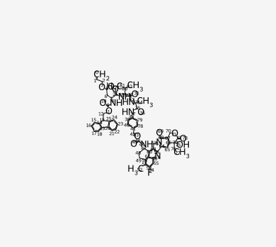 C=CCOC(=O)C[C@H](NC(=O)OCC1c2ccccc2-c2ccccc21)C(=O)N[C@H](C(=O)N[C@@H](C)C(=O)Nc1ccc(COC(=O)N[C@H]2CCc3c(C)c(F)cc4nc5c(c2c34)Cn2c-5cc3c(c2=O)COC(=O)[C@]3(O)CC)cc1)C(C)C